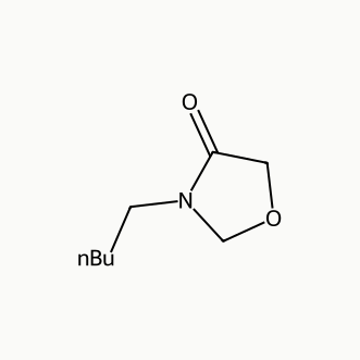 CCCCCN1COCC1=O